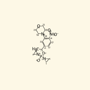 CC(OP(=O)(N1CC1)N1CC1)c1ccc([N+](=O)[O-])c(N2CCOCC2)c1